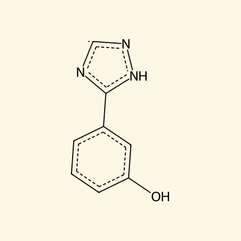 Oc1cccc(-c2n[c]n[nH]2)c1